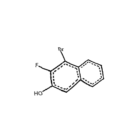 Oc1cc2ccccc2c(Br)c1F